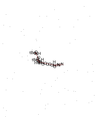 CN(C)c1ccc(N=Nc2ccc(C(=O)NCCOCCOCCOCCOCCC(=O)NCCOP(=O)(O)OCC(COC(=O)CCCCCNC(=O)OC(C)(C)C)OC(C)(C)C)cc2)cc1